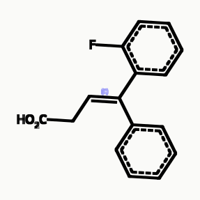 O=C(O)C/C=C(\c1ccccc1)c1ccccc1F